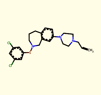 C=CCN1CCN(c2ccc3c(c2)CN(Sc2cc(Cl)cc(Cl)c2)CCC3)CC1